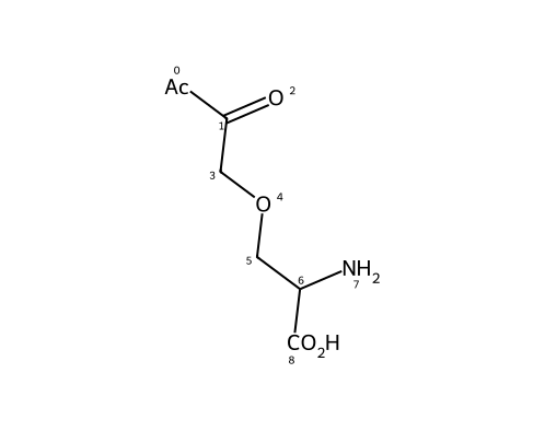 CC(=O)C(=O)COCC(N)C(=O)O